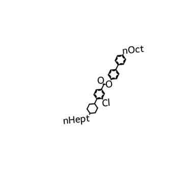 CCCCCCCCc1ccc(-c2ccc(OC(=O)c3ccc(C4CCC(CCCCCCC)CC4)c(Cl)c3)cc2)cc1